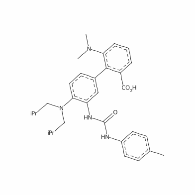 Cc1ccc(NC(=O)Nc2cc(-c3c(C(=O)O)cccc3N(C)C)ccc2N(CC(C)C)CC(C)C)cc1